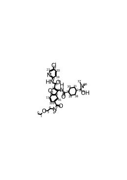 CCOCCN(C)C(=O)c1ccc2oc(C(=O)Nc3ccc(Cl)cn3)c(NC(=O)[C@H]3CC[C@H](C(O)N(C)C)CC3)c2c1